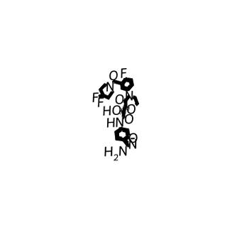 Nc1noc2cc(NC(=O)[C@H](O)[C@H]3OCCN(c4ccc(F)c(C(=O)N5CCC(F)(F)CC5)c4)C3=O)ccc12